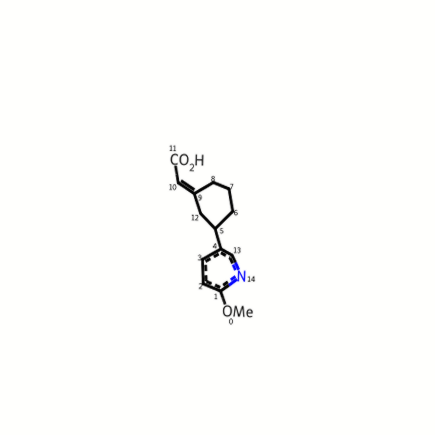 COc1ccc(C2CCCC(=CC(=O)O)C2)cn1